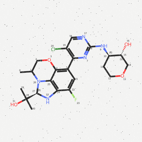 CC1COc2c(-c3nc(N[C@@H]4CCOC[C@H]4O)ncc3Cl)cc(F)c3c2N1[C@H](C(C)(C)O)N3